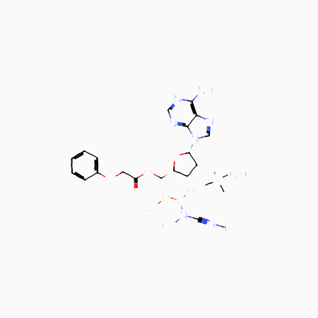 CCOP(O[C@H]1[C@@H](O[Si](C)(C)C(C)(C)C)[C@H](n2cnc3c(N)ncnc32)O[C@@H]1COC(=O)COc1ccccc1)N(C#[N+]C(C)C)C(C)C